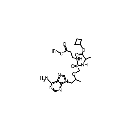 CC(C)OC(=O)CCNP(=O)(COC(C)Cn1cnc2c(N)ncnc21)NC(C)C(=O)OC1CCC1